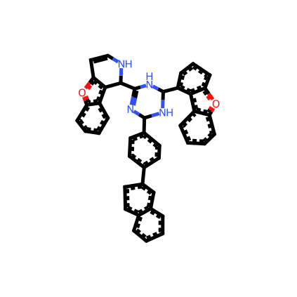 C1=Cc2oc3ccccc3c2C(C2=NC(c3ccc(-c4ccc5ccccc5c4)cc3)NC(c3cccc4oc5ccccc5c34)N2)N1